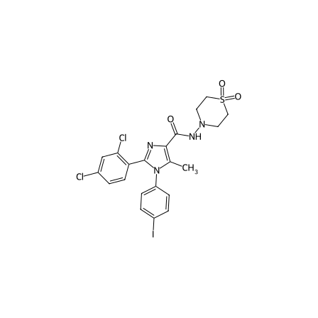 Cc1c(C(=O)NN2CCS(=O)(=O)CC2)nc(-c2ccc(Cl)cc2Cl)n1-c1ccc(I)cc1